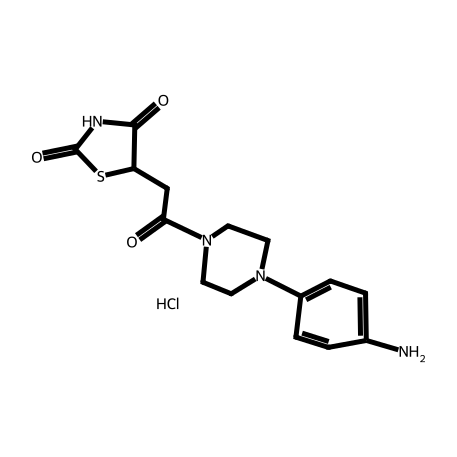 Cl.Nc1ccc(N2CCN(C(=O)CC3SC(=O)NC3=O)CC2)cc1